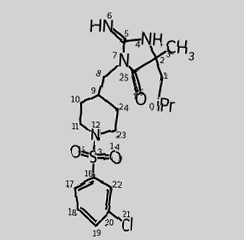 CC(C)CC1(C)NC(=N)N(CC2CCN(S(=O)(=O)c3cccc(Cl)c3)CC2)C1=O